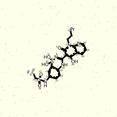 CC(C)CCn1c(=O)c(C2=NS(O)(O)c3cc(NS(=O)(=O)CC(F)(F)F)ccc3N2)c(O)c2cccnc21